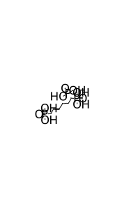 O=P(O)(O)C/C=C/CCC(P(=O)(O)O)P(=O)(O)O